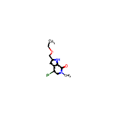 CCOCc1cc2c(Br)cn(C)c(=O)c2[nH]1